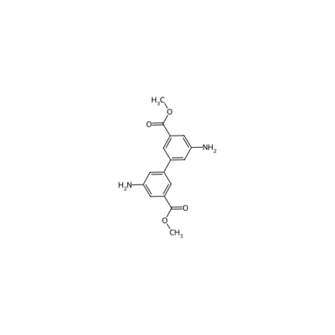 COC(=O)c1cc(N)cc(-c2cc(N)cc(C(=O)OC)c2)c1